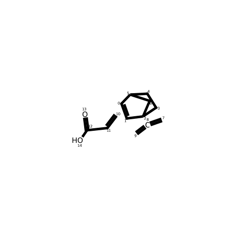 C1=CC2CCC1C2.C=C=C.C=CC(=O)O